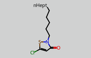 CCCCCCCCCCCCn1sc(Cl)cc1=O